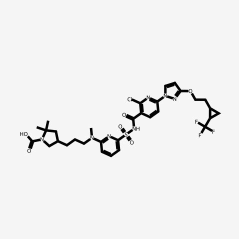 CN(CCCC1CN(C(=O)O)C(C)(C)C1)c1cccc(S(=O)(=O)NC(=O)c2ccc(-n3ccc(OCCC4CC4C(F)(F)F)n3)nc2Cl)n1